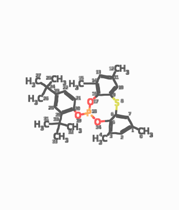 Cc1cc(C)c2c(c1)Sc1cc(C)cc(C)c1OP(Oc1ccc(C(C)(C)C)cc1C(C)(C)C)O2